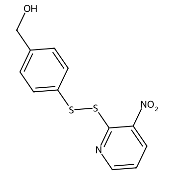 O=[N+]([O-])c1cccnc1SSc1ccc(CO)cc1